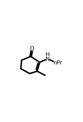 CCCNC1=C(C)CCCC1=O